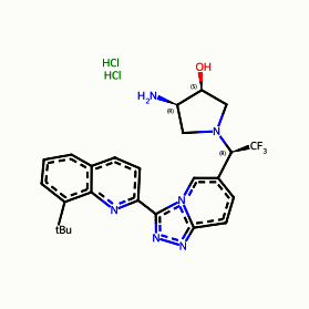 CC(C)(C)c1cccc2ccc(-c3nnc4ccc([C@@H](N5C[C@@H](N)[C@@H](O)C5)C(F)(F)F)cn34)nc12.Cl.Cl